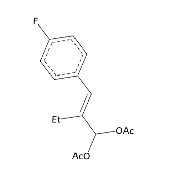 CC/C(=C\c1ccc(F)cc1)C(OC(C)=O)OC(C)=O